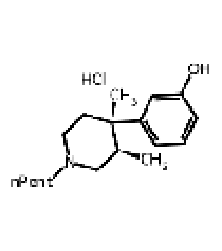 CCCCCN1CC[C@](C)(c2cccc(O)c2)[C@@H](C)C1.Cl